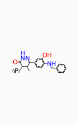 CCCC1C(=O)NN=C(c2ccc(NCc3ccccc3)c(O)c2)C1C